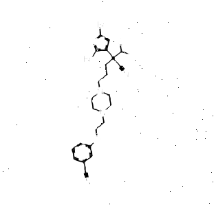 CC(C)C(C#N)(CCCN1CCN(CCOc2cccc(C#N)c2)CC1)c1cc(Br)sc1Br